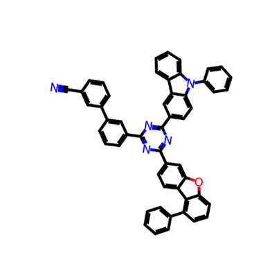 N#Cc1cccc(-c2cccc(-c3nc(-c4ccc5c(c4)oc4cccc(-c6ccccc6)c45)nc(-c4ccc5c(c4)c4ccccc4n5-c4ccccc4)n3)c2)c1